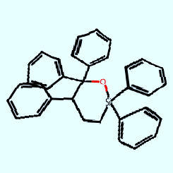 c1ccc(C2CC[Si](c3ccccc3)(c3ccccc3)OC2(c2ccccc2)c2ccccc2)cc1